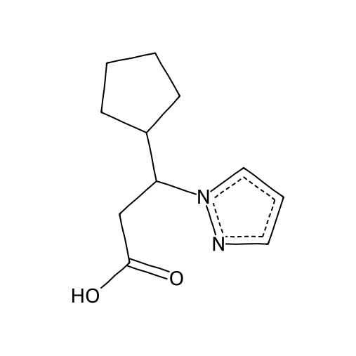 O=C(O)CC(C1CCCC1)n1cccn1